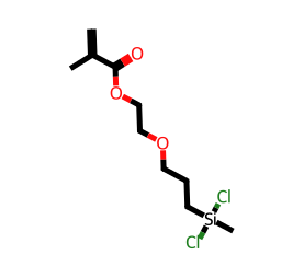 C=C(C)C(=O)OCCOCCC[Si](C)(Cl)Cl